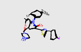 CCc1ccc(OC)cc1-n1c(C=C(C)C)c(C(=O)N2CCNCC2)cc(-c2nc(-c3ccc(I)cc3)cs2)c1=O